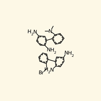 CN(C)c1ccccc1-c1cc(N)ccc1N.Nc1ccc(N)c(-c2ccccc2CBr)c1